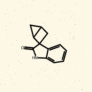 O=C1Nc2ccccc2C12CC1CC12